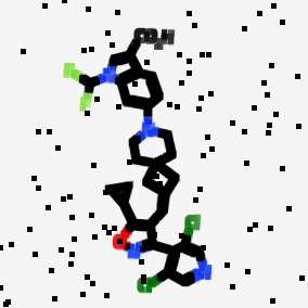 O=C(O)c1cn(C(F)F)c2cc(N3CCC4(CC3)CC(=Cc3c(-c5c(Cl)cncc5Cl)noc3C3CC3)C4)ccc12